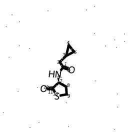 O=C(CC1CC1)N[C@H]1CCSC1=O